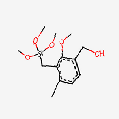 COc1c(CO)ccc(C)c1C[Si](OC)(OC)OC